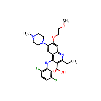 CCc1nc2cc(OCCOC)c(N3CCN(C)CC3)cc2c(Nc2cc(F)ccc2F)c1C(=O)O